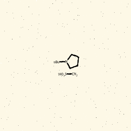 CCCCN1CCCC1.CS(=O)(=O)O